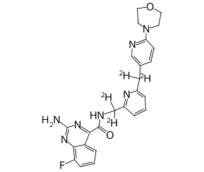 [2H]C([2H])(NC(=O)c1nc(N)nc2c(F)cccc12)c1cccc(C([2H])([2H])c2ccc(N3CCOCC3)nc2)n1